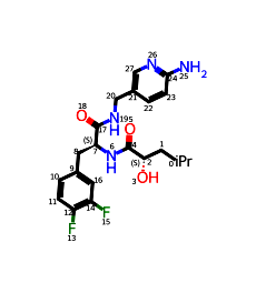 CC(C)C[C@H](O)C(=O)N[C@@H](Cc1ccc(F)c(F)c1)C(=O)NCc1ccc(N)nc1